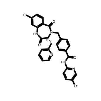 CCc1ccc(NC(=O)c2ccc(CN3C(=O)c4ccc(Cl)cc4NC(=O)[C@H]3Cc3ccccn3)cc2)nc1